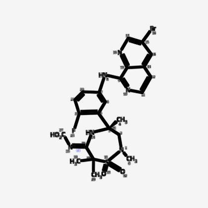 CN1C[C@@](C)(c2cc(Nc3nccc4cc(Br)cnc34)ccc2F)N/C(=N\C(=O)O)C(C)(C)S1(=O)=O